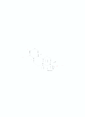 C[C@]12CC[C@H](O)C(O)[C@@H]1CC[C@@H]1[C@@H]2CC[C@]2(C)[C@@H](O)CC[C@@H]12